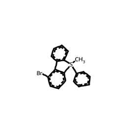 CS1(c2ccccc2)c2ccccc2-c2c(Br)cccc21